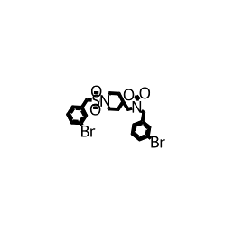 O=C1OC2(CCN(S(=O)(=O)Cc3cccc(Br)c3)CC2)CN1Cc1cccc(Br)c1